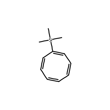 C[Si](C)(C)C1=CC=CC=CC=C1